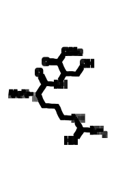 CN[C@@H](CCCNC(=N)N)C(=O)NC(CO)C(=O)OC